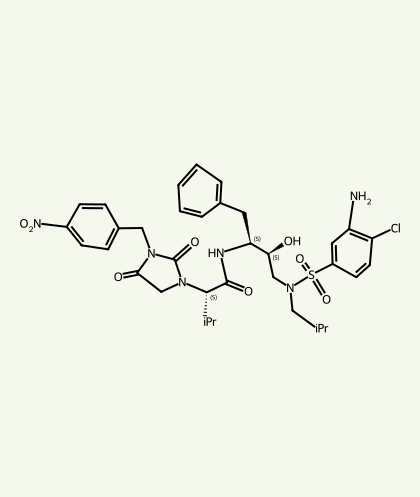 CC(C)CN(C[C@H](O)[C@H](Cc1ccccc1)NC(=O)[C@H](C(C)C)N1CC(=O)N(Cc2ccc([N+](=O)[O-])cc2)C1=O)S(=O)(=O)c1ccc(Cl)c(N)c1